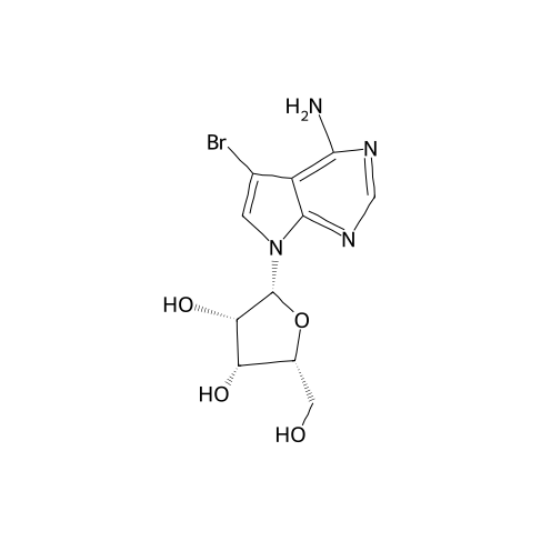 Nc1ncnc2c1c(Br)cn2[C@@H]1O[C@H](CO)[C@H](O)[C@@H]1O